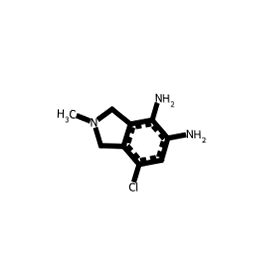 CN1Cc2c(Cl)cc(N)c(N)c2C1